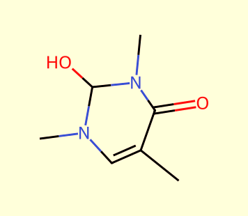 CC1=CN(C)C(O)N(C)C1=O